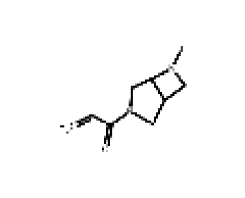 C=CC(=O)N1CC2CN(I)C2C1